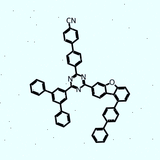 N#Cc1ccc(-c2ccc(-c3nc(-c4cc(-c5ccccc5)cc(-c5ccccc5)c4)nc(-c4ccc5c(c4)oc4cccc(-c6ccc(-c7ccccc7)cc6)c45)n3)cc2)cc1